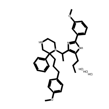 CCCc1[nH]c(-c2cccc(OC)c2)nc1C(C)N1CCNCC1(CCCc1ccc(OC)cc1)c1ccccc1.Cl.Cl.Cl